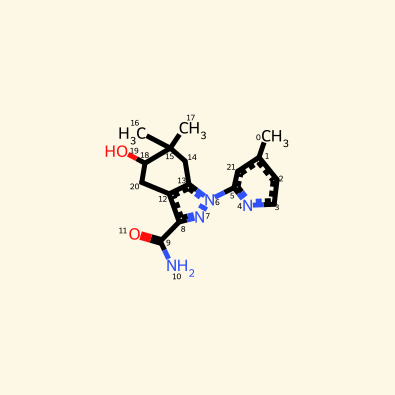 Cc1ccnc(-n2nc(C(N)=O)c3c2CC(C)(C)C(O)C3)c1